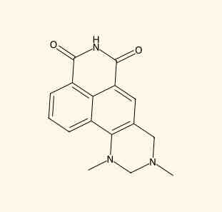 CN1Cc2cc3c4c(cccc4c2N(C)C1)C(=O)NC3=O